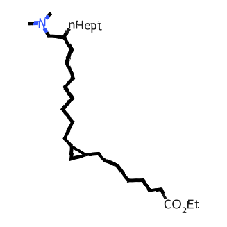 CCCCCCCC(CCCCCCCCC1CC1CCCCCCCC(=O)OCC)CN(C)C